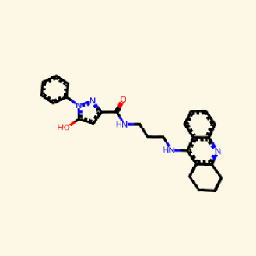 O=C(NCCCNc1c2c(nc3ccccc13)CCCC2)c1cc(O)n(-c2ccccc2)n1